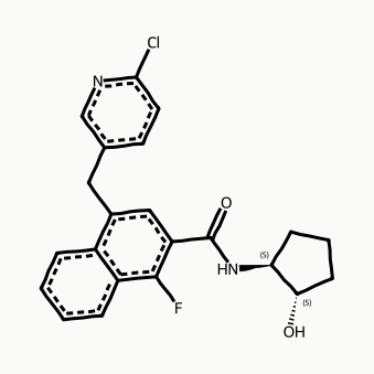 O=C(N[C@H]1CCC[C@@H]1O)c1cc(Cc2ccc(Cl)nc2)c2ccccc2c1F